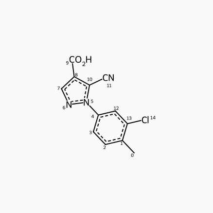 Cc1ccc(-n2ncc(C(=O)O)c2C#N)cc1Cl